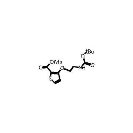 COC(=O)c1sccc1OCCNC(=O)OC(C)(C)C